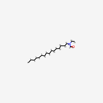 CCCCCCCCCCCCCCCCN(C=O)CC